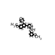 COc1cccc(CNc2nccc(-c3cc(N4CCOCC4)c4cc(OC)ccc4c3)n2)c1